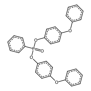 O=P(Oc1ccc(Oc2ccccc2)cc1)(Oc1ccc(Oc2ccccc2)cc1)c1ccccc1